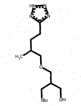 CC(CCc1nn[nH]n1)COCC(CO)CC(C)(C)C